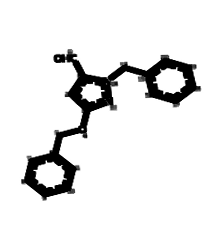 O=Cc1cc(OCc2ccccc2)nn1Cc1ccccc1